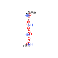 C#C[C@@H](NC)C(=O)NCCOCCOCC(=O)NCCOCCOCC(=O)NCCOCCOCC(=O)NCCCC